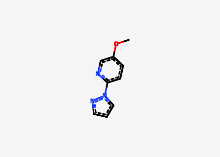 COc1ccc(-n2cccn2)nc1